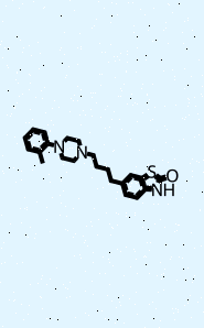 Cc1ccccc1N1CCN(CCCCc2ccc3[nH]c(=O)sc3c2)CC1